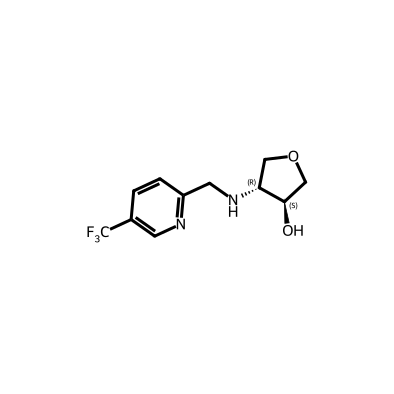 O[C@@H]1COC[C@H]1NCc1ccc(C(F)(F)F)cn1